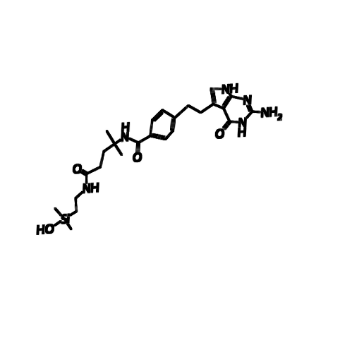 CC(C)(CCC(=O)NCC[Si](C)(C)O)NC(=O)c1ccc(CCc2c[nH]c3nc(N)[nH]c(=O)c23)cc1